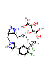 CCc1[nH]ncc1Cn1cc(-c2ccc(F)c(C(C)(F)F)c2)cn1.O=C(O)C(O)C(O)C(=O)O